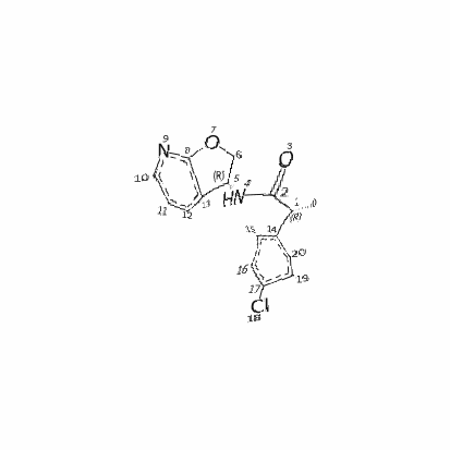 C[C@@H](C(=O)N[C@H]1COc2ncccc21)c1ccc(Cl)cc1